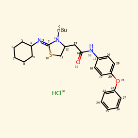 CCCCN1C(=NC2CCCCC2)SCC1CC(=O)Nc1ccc(Oc2ccccc2)cc1.Cl